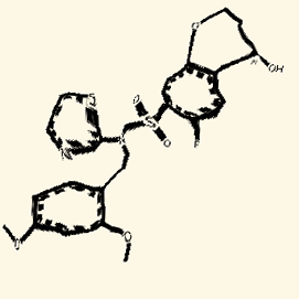 COc1ccc(CN(c2nccs2)S(=O)(=O)c2cc3c(cc2F)[C@H](O)CCO3)c(OC)c1